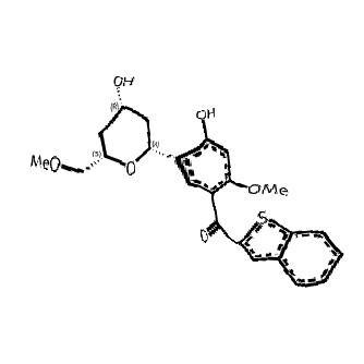 COC[C@@H]1C[C@H](O)C[C@H](c2cc(C(=O)c3cc4ccccc4s3)c(OC)cc2O)O1